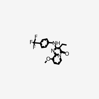 CCc1c(Nc2ccc(C(F)(F)F)cc2)nc2c(OC)cccn2c1=O